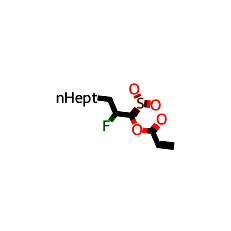 C=CC(=O)OC(C(F)CCCCCCCC)=S(=O)=O